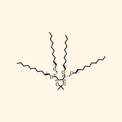 CCCCCCCC/C=C/OC[C@@H](O/C=C/CCCCCCCC)[C@H]1OC(C)(C)O[C@@H]1[C@@H](CO/C=C/CCCCCCCC)O/C=C/CCCCCCCC